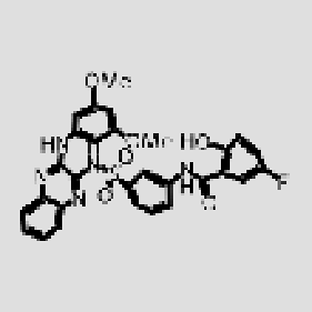 COc1cc(Nc2nc3ccccc3nc2NS(=O)(=O)c2cccc(NC(=O)c3cc(F)ccc3O)c2)cc(OC)c1